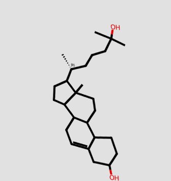 C[C@H](CCCC(C)(C)O)C1CCC2C3CC=C4CC(O)CCC4C3CCC21C